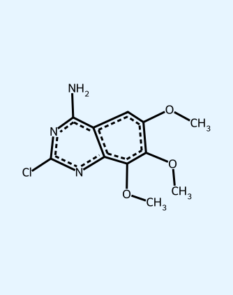 COc1cc2c(N)nc(Cl)nc2c(OC)c1OC